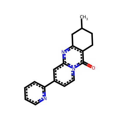 CC1CCc2c(nc3cc(-c4ccccn4)ccn3c2=O)C1